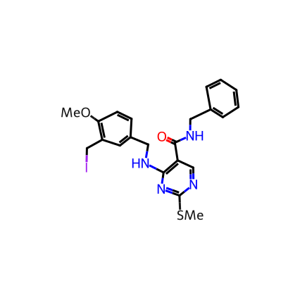 COc1ccc(CNc2nc(SC)ncc2C(=O)NCc2ccccc2)cc1CI